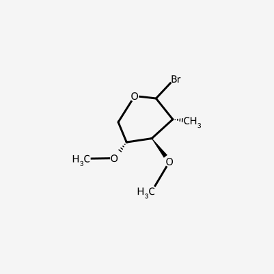 CO[C@H]1[C@H](OC)COC(Br)[C@@H]1C